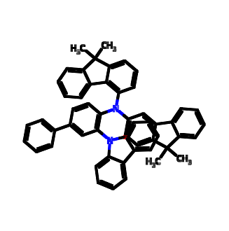 CC1(C)c2ccccc2-c2cc(N(c3ccc(-c4ccccc4)cc3-n3c4ccccc4c4ccccc43)c3cccc4c3-c3ccccc3C4(C)C)ccc21